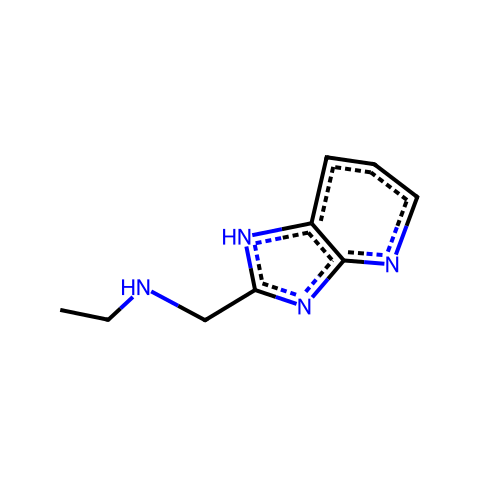 CCNCc1nc2ncccc2[nH]1